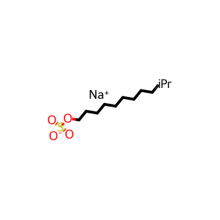 CC(C)CCCCCCCCCOS(=O)(=O)[O-].[Na+]